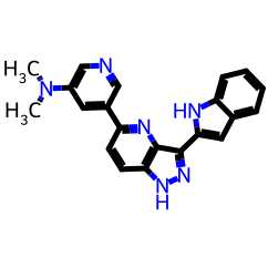 CN(C)c1cncc(-c2ccc3[nH]nc(-c4cc5ccccc5[nH]4)c3n2)c1